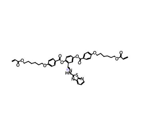 C=CC(=O)OCCCCCCOc1ccc(C(=O)Oc2ccc(OC(=O)c3ccc(OCCCCCCOC(=O)C=C)cc3)c(/C=N/Nc3nc4cccnc4s3)c2)cc1